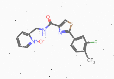 O=C(NCc1cccc[n+]1[O-])c1csc(-c2ccc(C(F)(F)F)c(F)c2)n1